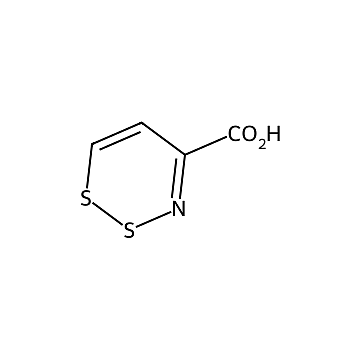 O=C(O)C1=NSSC=C1